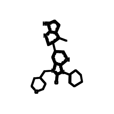 Cc1c(-c2cnc3c(c2)n(CC2CCOCC2)c(=O)n3C2=CCCCC2)cnc2[nH]ccc12